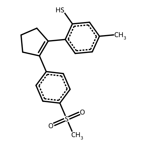 Cc1ccc(C2=C(c3ccc(S(C)(=O)=O)cc3)CCC2)c(S)c1